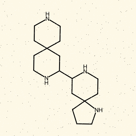 C1CNC2(C1)CCNC(C1CC3(CCNCC3)CCN1)C2